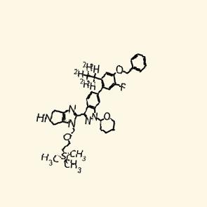 [2H]C([2H])([2H])C([2H])([2H])c1cc(OCc2ccccc2)c(F)cc1-c1ccc2c(-c3nc4c(n3COCC[Si](C)(C)C)CNC4)nn(C3CCCCO3)c2c1